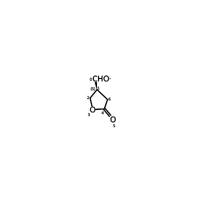 O=[C][C@@H]1COC(=O)C1